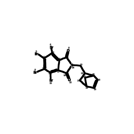 O=C1c2c(Br)c(Br)c(Br)c(Br)c2C(=O)N1CC1CC2C=CC1C2